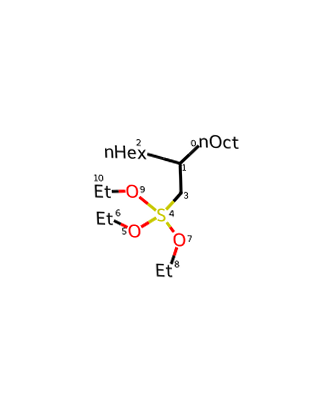 CCCCCCCCC(CCCCCC)CS(OCC)(OCC)OCC